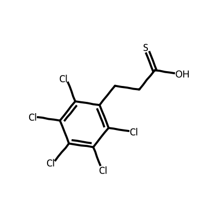 OC(=S)CCc1c(Cl)c(Cl)c(Cl)c(Cl)c1Cl